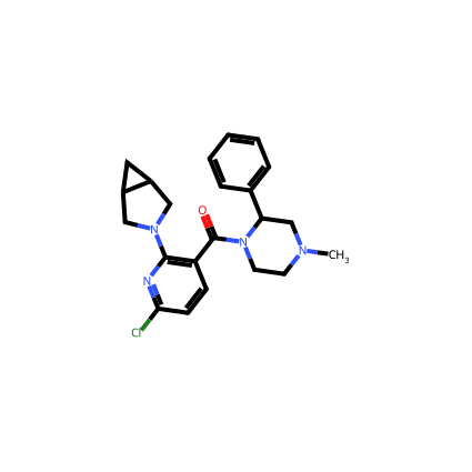 CN1CCN(C(=O)c2ccc(Cl)nc2N2CC3CC3C2)C(c2ccccc2)C1